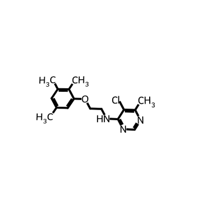 Cc1cc(C)c(C)c(OCCNc2ncnc(C)c2Cl)c1